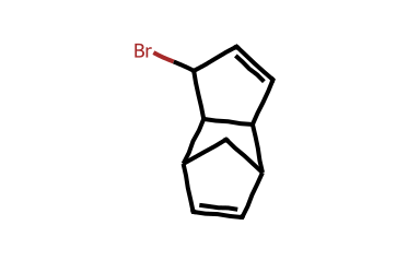 BrC1C=CC2C3C=CC(C3)C12